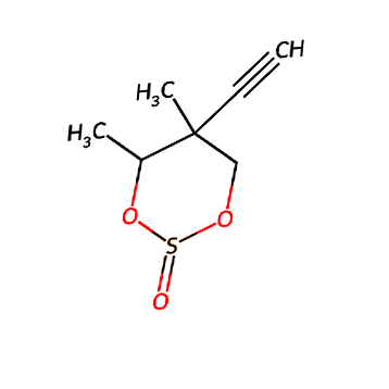 C#CC1(C)COS(=O)OC1C